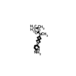 CN(C(=O)OC(C)(C)C)C1CC2(C1)CN(c1ccc(N)nc1)C2